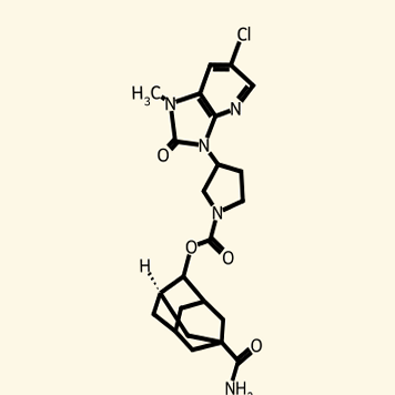 Cn1c(=O)n(C2CCN(C(=O)OC3C4CC5C[C@@H]3CC(C(N)=O)(C5)C4)C2)c2ncc(Cl)cc21